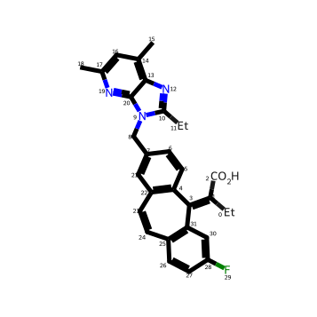 CCC(C(=O)O)=C1c2ccc(Cn3c(CC)nc4c(C)cc(C)nc43)cc2C=Cc2ccc(F)cc21